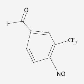 O=Nc1ccc(C(=O)I)cc1C(F)(F)F